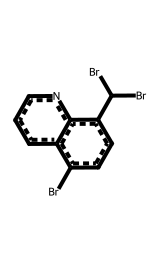 Brc1ccc(C(Br)Br)c2ncccc12